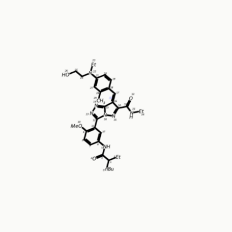 CCCCC(CC)C(=O)Nc1ccc(OC)c(-c2nnc3/c(=C\c4ccc(N(CC)CCO)cc4C)c(C(=O)NCC)nn23)c1